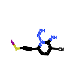 N#Cc1ccc(C#CSI)n(N=N)c1=N